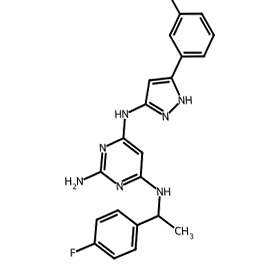 CC(Nc1cc(Nc2cc(-c3cccc(F)c3)[nH]n2)nc(N)n1)c1ccc(F)cc1